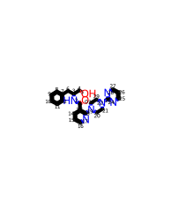 O=C(NC(CO)Cc1ccccc1)c1cccnc1N1CCN(c2ncccn2)CC1